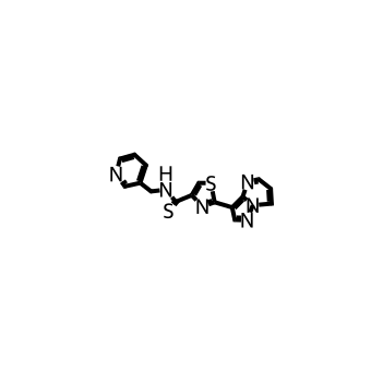 S=C(NCc1cccnc1)c1csc(-c2cnn3cccnc23)n1